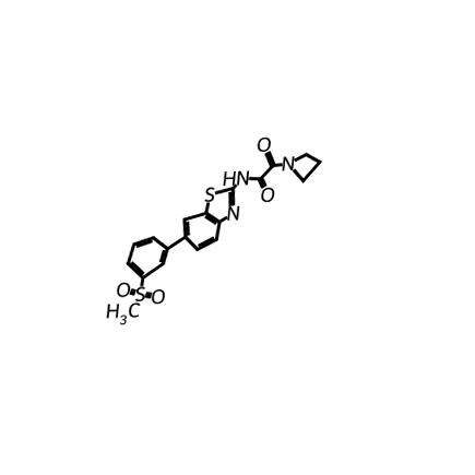 CS(=O)(=O)c1cccc(-c2ccc3nc(NC(=O)C(=O)N4CCC4)sc3c2)c1